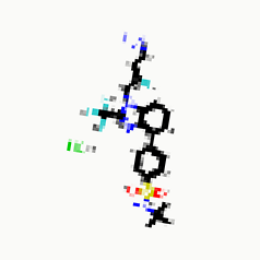 CC(C)(C)NS(=O)(=O)c1ccc(-c2cccc3c2nc(C(F)(F)F)n3C/C(F)=C/CN)cc1.Cl